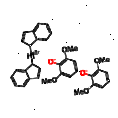 C1=C[CH]([Hf+2][CH]2C=Cc3ccccc32)c2ccccc21.COc1cccc(OC)c1[O-].COc1cccc(OC)c1[O-]